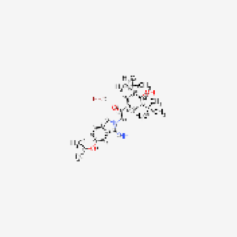 Br.CC(C)Oc1ccc2c(c1)C(=N)N(CC(=O)c1cc(C(C)(C)C)c(O)c(C(C)(C)C)c1)C2